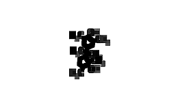 Cc1cc(C(C)(C)c2ccc(C)c(O)c2C)cc(C)c1O